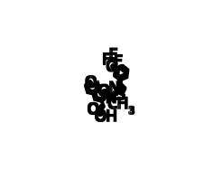 CN(C(=O)[C@@H](CC(=O)O)CC1CCOCC1)c1nc(-c2cccc(OC(F)(F)F)c2)cs1